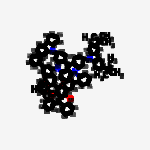 CC(C)(C)c1ccc2c(c1)c1cc(C(C)(C)C)ccc1n2-c1ccc2c(c1)N(c1ccccc1-c1ccccc1)c1cc(-c3cc4c5c(c3-c3ccccc3C(C)(C)C)Oc3ccccc3B5c3ccccc3O4)cc3c1B2c1ccc(-n2c4ccccc4c4ccccc42)cc1N3c1cc(-c2ccccc2)cc(-c2ccccc2)c1